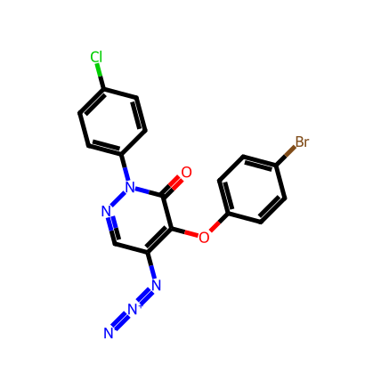 [N-]=[N+]=Nc1cnn(-c2ccc(Cl)cc2)c(=O)c1Oc1ccc(Br)cc1